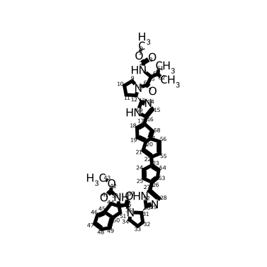 COC(=O)NC(C(=O)N1CCC[C@H]1c1ncc(-c2ccc3cc(-c4ccc(-c5cnc([C@@H]6CCCN6C(=O)C6(NC(=O)OC)Cc7ccccc7C6)[nH]5)cc4)ccc3c2)[nH]1)C(C)C